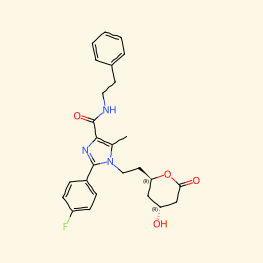 Cc1c(C(=O)NCCc2ccccc2)nc(-c2ccc(F)cc2)n1CC[C@@H]1C[C@@H](O)CC(=O)O1